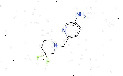 Nc1ccc(CN2CCCC(F)(F)C2)nc1